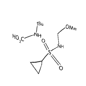 CC(C)(C)NC(=O)O.COCNS(=O)(=O)C1CC1